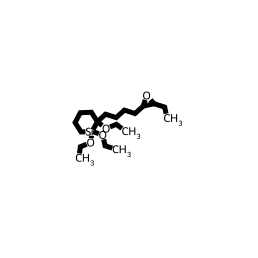 CCOC1(CCCCC2OC2CC)CCCC[Si]1(OCC)OCC